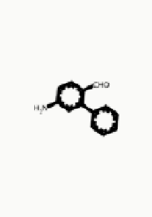 Nc1ccc(C=O)c(-c2ccccc2)c1